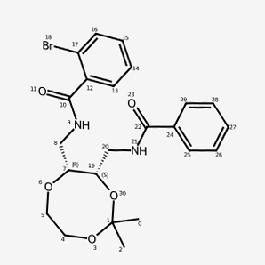 CC1(C)OCCO[C@H](CNC(=O)c2ccccc2Br)[C@H](CNC(=O)c2ccccc2)O1